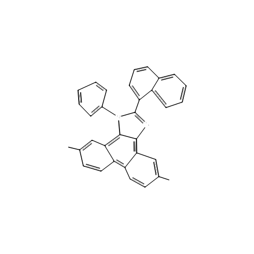 Cc1ccc2c3ccc(C)cc3c3c(nc(-c4cccc5ccccc45)n3-c3ccccc3)c2c1